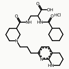 Cl.O=C(NCC(NC(=O)C1CCCCC1)C(=O)O)C1CCCN(CCCc2ccc3c(n2)NCCC3)C1